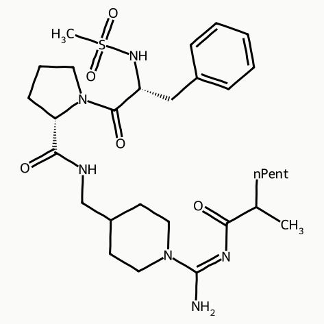 CCCCCC(C)C(=O)/N=C(/N)N1CCC(CNC(=O)[C@@H]2CCCN2C(=O)[C@@H](Cc2ccccc2)NS(C)(=O)=O)CC1